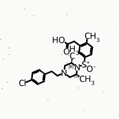 Cc1ccc([S+]([O-])N2[C@H](C)CN(CCc3ccc(Cl)cc3)C[C@@H]2C)cc1CC(=O)O